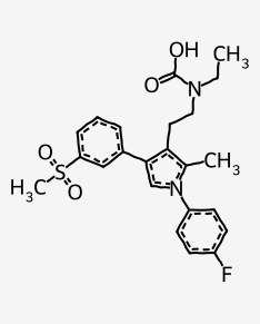 CCN(CCc1c(-c2cccc(S(C)(=O)=O)c2)cn(-c2ccc(F)cc2)c1C)C(=O)O